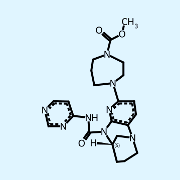 COC(=O)N1CCCN(c2ccc3c(n2)N(C(=O)Nc2ccncn2)[C@H]2CCCN3C2)CC1